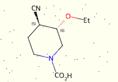 CCO[C@@H]1CN(C(=O)O)CC[C@H]1C#N